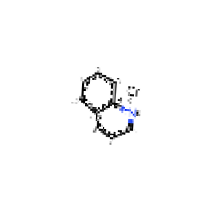 [Cr].c1ccc2ncccc2c1